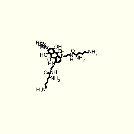 Br.Br.Br.Br.NCCCC[C@H](N)C(=O)NCCNc1ccc(NCCNC(=O)[C@@H](N)CCCCN)c2c1C(=O)c1c(O)ccc(O)c1C2=O